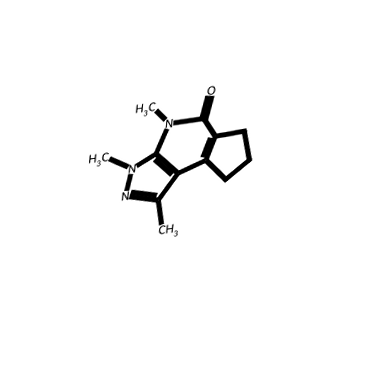 Cc1nn(C)c2c1c1c(c(=O)n2C)CCC1